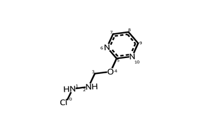 ClNNCOc1ncccn1